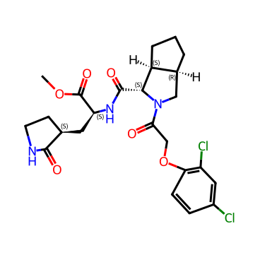 COC(=O)[C@H](C[C@@H]1CCNC1=O)NC(=O)[C@@H]1[C@H]2CCC[C@H]2CN1C(=O)COc1ccc(Cl)cc1Cl